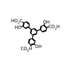 O=C(O)c1ccc(-c2cc(-c3ccc(C(=O)O)c(O)c3)cc(-c3ccc(C(=O)O)c(O)c3)c2)cc1O